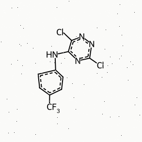 FC(F)(F)c1ccc(Nc2nc(Cl)nnc2Cl)cc1